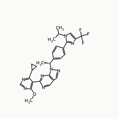 COc1ncnc(C2CC2)c1-c1ncc2cnn([C@@H](C)c3ccc(-c4nc(C(F)(F)F)cn4C(C)C)cc3)c2n1